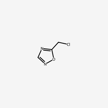 ClCc1ncno1